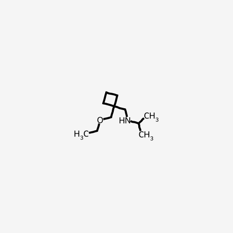 CCOCC1(CNC(C)C)CCC1